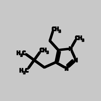 CCc1c(CC(C)(C)C)nnn1C